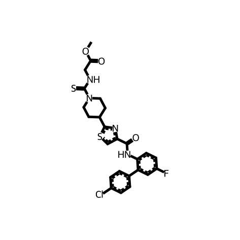 COC(=O)CNC(=S)N1CCC(c2nc(C(=O)Nc3ccc(F)cc3-c3ccc(Cl)cc3)cs2)CC1